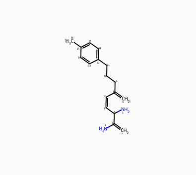 C=C(/C=C\C(N)C(=C)N)CCCc1ccc(C)cc1